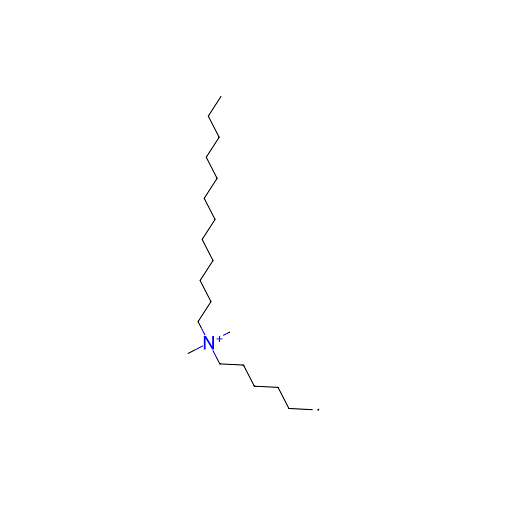 [CH2]CCCCC[N+](C)(C)CCCCCCCCCCCC